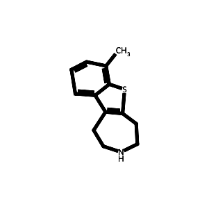 Cc1cccc2c3c(sc12)CCNCC3